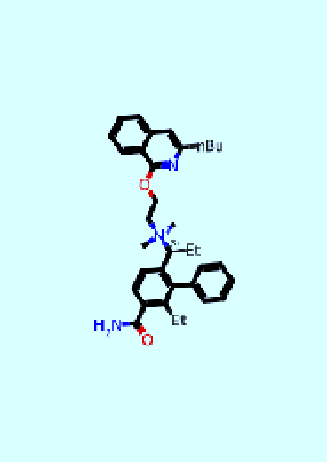 CCCCc1cc2ccccc2c(OCC[N+](C)(C)[C@@H](CC)c2ccc(C(N)=O)c(CC)c2-c2ccccc2)n1